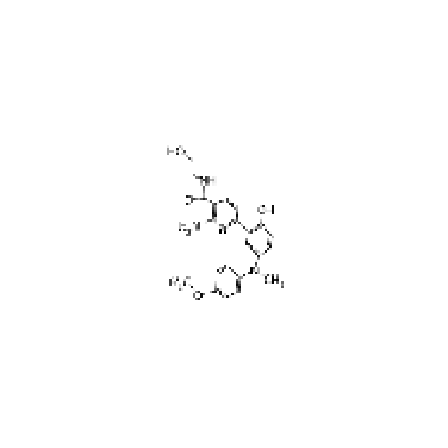 COc1ccc(N(C)c2ccc(O)c(-c3ccc(C(=O)NCCO)c(N)n3)c2)cc1